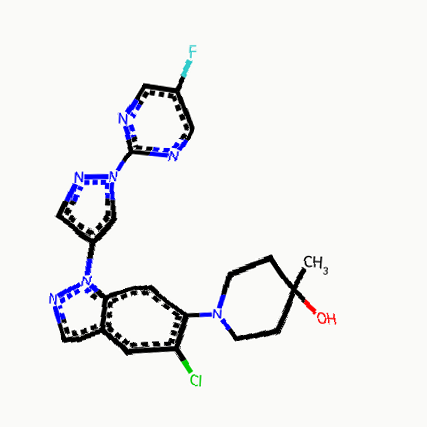 CC1(O)CCN(c2cc3c(cnn3-c3cnn(-c4ncc(F)cn4)c3)cc2Cl)CC1